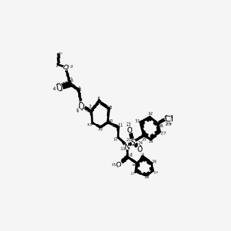 CCOC(=O)COC1CCC(CCN(C(=O)c2ccccc2)S(=O)(=O)c2ccc(Cl)cc2)CC1